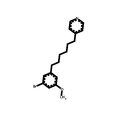 COc1cc(Br)cc(CCCCCCc2ccncc2)c1